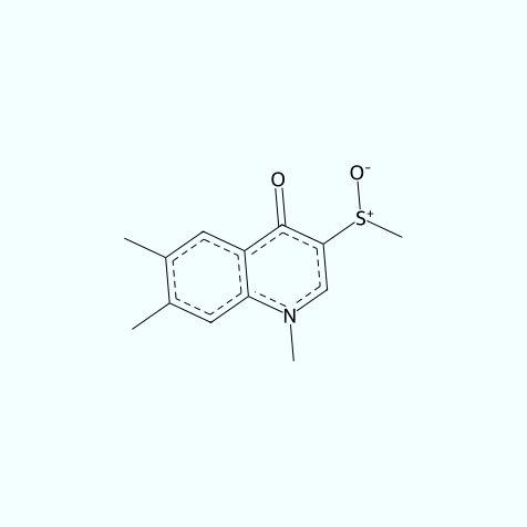 Cc1cc2c(=O)c([S+](C)[O-])cn(C)c2cc1C